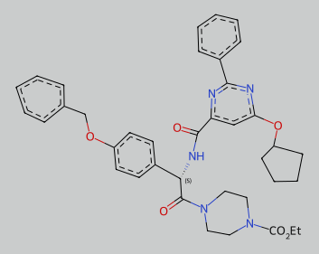 CCOC(=O)N1CCN(C(=O)[C@@H](NC(=O)c2cc(OC3CCCC3)nc(-c3ccccc3)n2)c2ccc(OCc3ccccc3)cc2)CC1